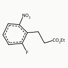 CCOC(=O)CCc1c(F)cccc1[N+](=O)[O-]